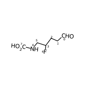 O=CCCC(F)CNC(=O)O